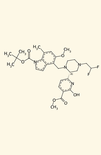 COC(=O)c1ccc([C@H]2CN(CC(F)F)CCN2Cc2c(OC)cc(C)c3c2ccn3C(=O)OC(C)(C)C)nc1O